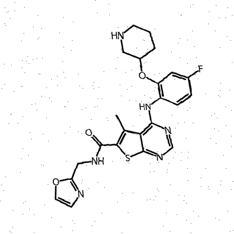 Cc1c(C(=O)NCc2ncco2)sc2ncnc(Nc3ccc(F)cc3OC3CCCNC3)c12